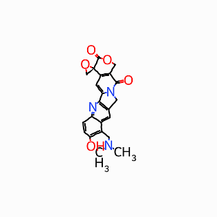 CN(C)Cc1c(O)ccc2nc3c(cc12)Cn1c-3cc2c(c1=O)COC(=O)[C@]21CO1